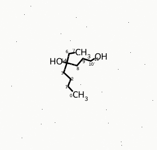 CCCCC(O)(CC)CCCO